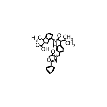 CC(C)C(C(=O)Nc1cccc2c1CC(C(=O)O)C2C)c1ccc(CN2N=C(c3ccccc3)OCC2=O)cc1